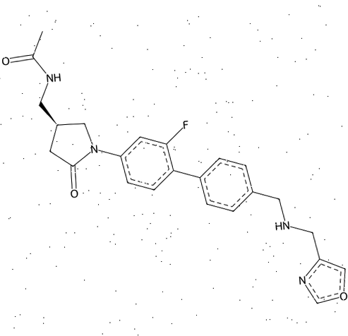 CC(=O)NC[C@@H]1CC(=O)N(c2ccc(-c3ccc(CNCc4cocn4)cc3)c(F)c2)C1